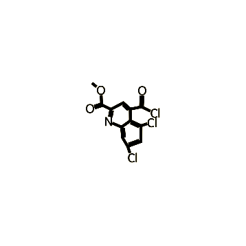 COC(=O)c1cc(C(=O)Cl)c2c(Cl)cc(Cl)cc2n1